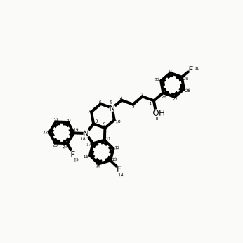 OC(CCCN1CCC2C(C1)c1cc(F)ccc1N2c1ccccc1F)c1ccc(F)cc1